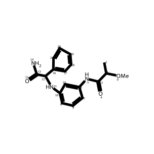 COC(C)C(=O)Nc1cccc(NC(C(N)=O)c2ccccc2)c1